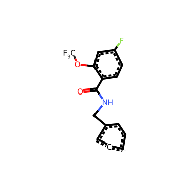 O=C(NCc1cc[c]cc1)c1ccc(F)cc1OC(F)(F)F